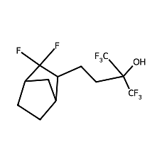 OC(CCC1C2CCC(C2)C1(F)F)(C(F)(F)F)C(F)(F)F